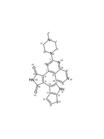 CN1CCN(c2nc(C3=C(c4c[nH]c5sccc45)C(=O)NC3=O)c3ccncc3n2)CC1